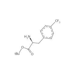 CC(C)(C)OC(=O)[C@@H](N)Cc1ccc(C(F)(F)F)cc1